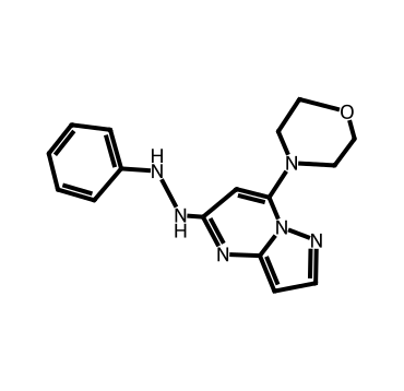 c1ccc(NNc2cc(N3CCOCC3)n3nccc3n2)cc1